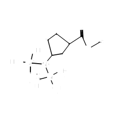 CCOC(=S)C1CCC(N([Si](C)(C)C)[Si](C)(C)C)C1